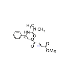 COC(=O)/C=C/C(=O)OC[C@H](NC(=O)N(C)C)c1ccccc1